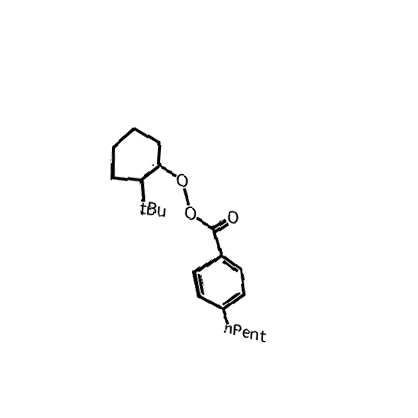 CCCCCc1ccc(C(=O)OO[C]2CCCCC2C(C)(C)C)cc1